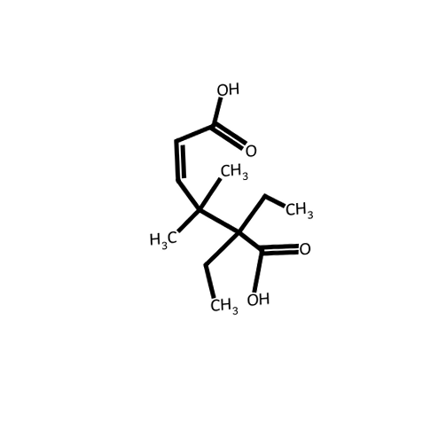 CCC(CC)(C(=O)O)C(C)(C)/C=C\C(=O)O